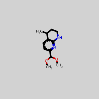 COC(OC)c1ccc2c(n1)NCCC2C